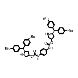 CC(C)(C)c1ccc(C(c2ccc(C(C)(C)C)cc2)[C@H]2C[C@@H](OC(=O)Nc3ccc(NC(=O)O[C@H]4CN[C@@H](C(c5ccc(C(C)(C)C)cc5)c5ccc(C(C)(C)C)cc5)C4)cc3)CN2)cc1